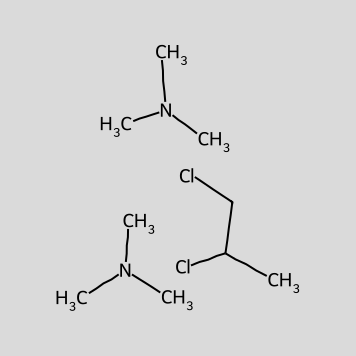 CC(Cl)CCl.CN(C)C.CN(C)C